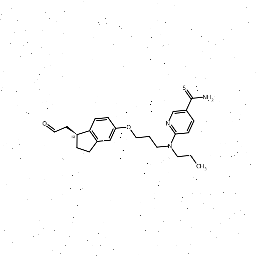 CCCN(CCCOc1ccc2c(c1)CC[C@H]2CC=O)c1ccc(C(N)=S)cn1